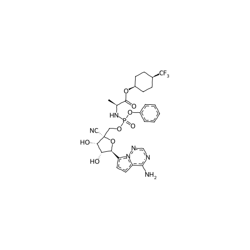 C[C@H](NP(=O)(OC[C@@]1(C#N)O[C@@H](c2ccc3c(N)ncnn23)[C@H](O)[C@@H]1O)Oc1ccccc1)C(=O)O[C@H]1CC[C@@H](C(F)(F)F)CC1